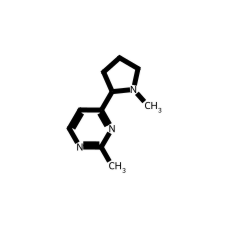 Cc1nccc(C2CCCN2C)n1